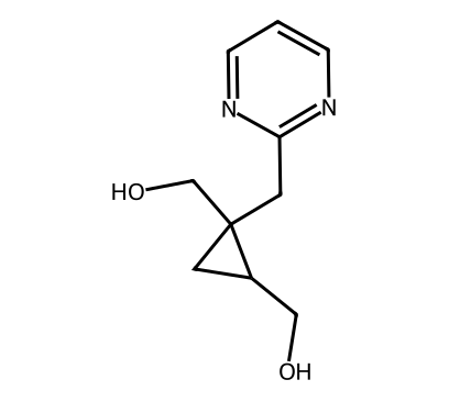 OCC1CC1(CO)Cc1ncccn1